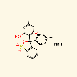 Cc1ccc(C2(c3ccc(C)cc3O)OS(=O)(=O)c3ccccc32)c(O)c1.[NaH]